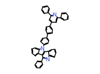 c1ccc(-c2cc(-c3ccc(-c4ccc(-n5c6ccccc6c6c(-c7ccccc7)nc7ccccc7c65)cc4)cc3)cc(-c3ccccc3)n2)cc1